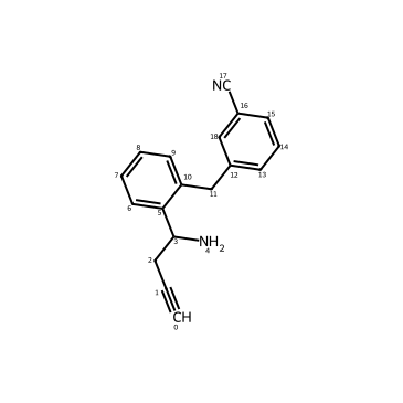 C#CCC(N)c1ccccc1Cc1cccc(C#N)c1